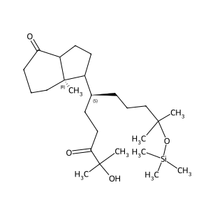 CC(C)(CCC[C@@H](CCC(=O)C(C)(C)O)C1CCC2C(=O)CCC[C@@]21C)O[Si](C)(C)C